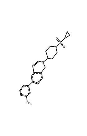 Cc1cccc(-c2ccc3c(c2)C=CN(C2CCN(S(=O)(=O)C4CC4)CC2)C3)c1